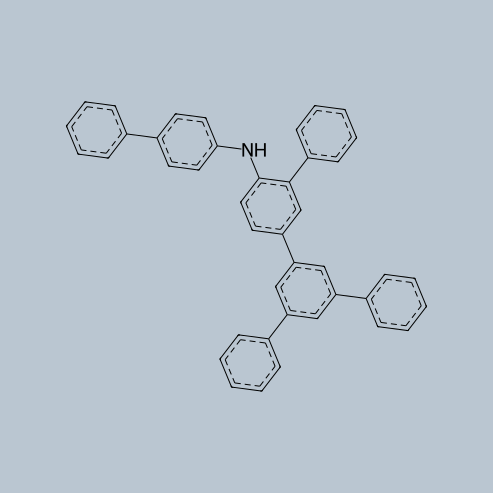 c1ccc(-c2ccc(Nc3ccc(-c4cc(-c5ccccc5)cc(-c5ccccc5)c4)cc3-c3ccccc3)cc2)cc1